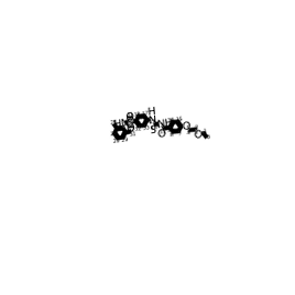 CCOCCOc1ccc(C(=O)NC(=S)Nc2ccc(S(=O)(=O)Nc3c(C)cccc3C)cc2)cc1